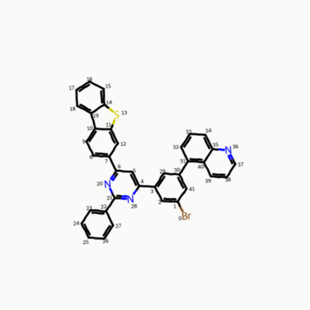 Brc1cc(-c2cc(-c3ccc4c(c3)sc3ccccc34)nc(-c3ccccc3)n2)cc(-c2cccc3ncccc23)c1